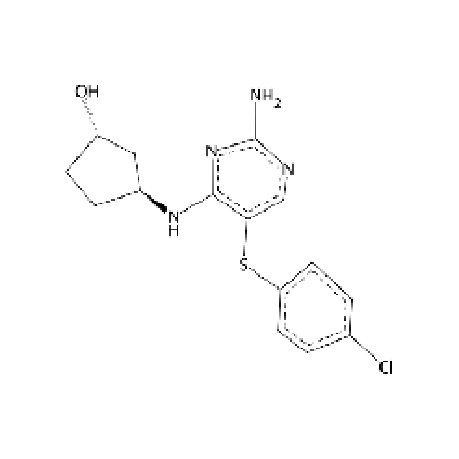 Nc1ncc(Sc2ccc(Cl)cc2)c(N[C@H]2CC[C@H](O)C2)n1